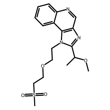 COC(C)c1nc2cnc3ccccc3c2n1CCOCCS(C)(=O)=O